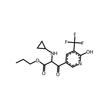 CCCOC(=O)C(NC1CC1)C(=O)c1cnc(O)c(C(F)(F)F)c1